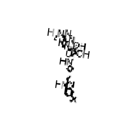 CC(C)(C)c1ccc2[nH]c(CC[C@H]3C[C@@H](NC[C@H]4O[C@@H](n5cnc6c(N)ncnc65)[C@H](O)[C@@H]4O)C3)nc2c1